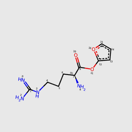 N=C(N)NCCC[C@H](N)C(=O)Oc1ccco1